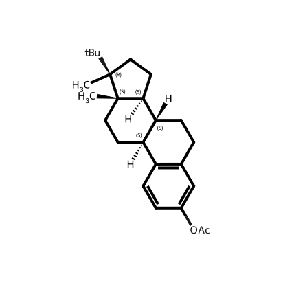 CC(=O)Oc1ccc2c(c1)CC[C@@H]1[C@@H]2CC[C@@]2(C)[C@H]1CC[C@]2(C)C(C)(C)C